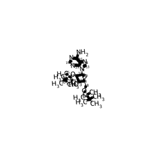 CC(C)(C)[Si](C)(C)OC[C@H]1O[C@@H](n2cnc3c(N)ncnc32)[C@@H](O[Si](C)(C)C(C)(C)C)C1O